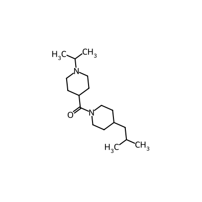 CC(C)CC1CCN(C(=O)C2CCN(C(C)C)CC2)CC1